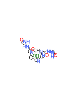 COc1nc(-c2cccc(-c3ccnc(-c4ccn5c(=O)c(CNC[C@H]6CCC(=O)N6)cnc5c4)c3Cl)c2Cl)ccc1CNC[C@@H]1CCC(=O)N1